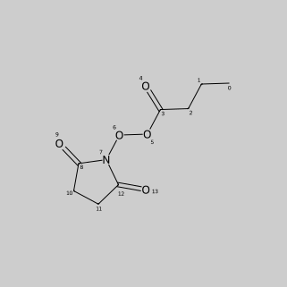 CCCC(=O)OON1C(=O)CCC1=O